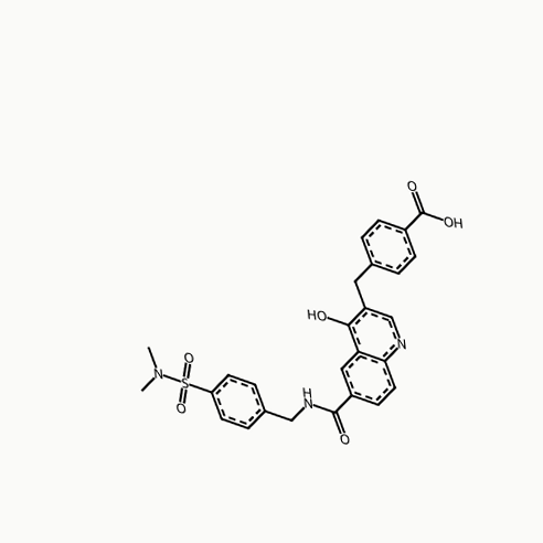 CN(C)S(=O)(=O)c1ccc(CNC(=O)c2ccc3ncc(Cc4ccc(C(=O)O)cc4)c(O)c3c2)cc1